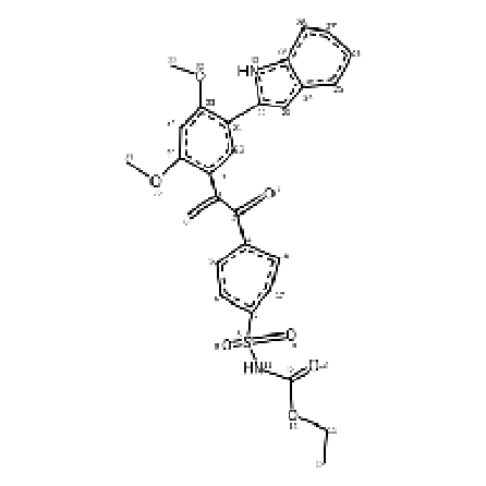 C=C(C(=O)c1ccc(S(=O)(=O)NC(=O)OCC)cc1)c1cc(-c2cc3ccccc3[nH]2)c(OC)cc1OC